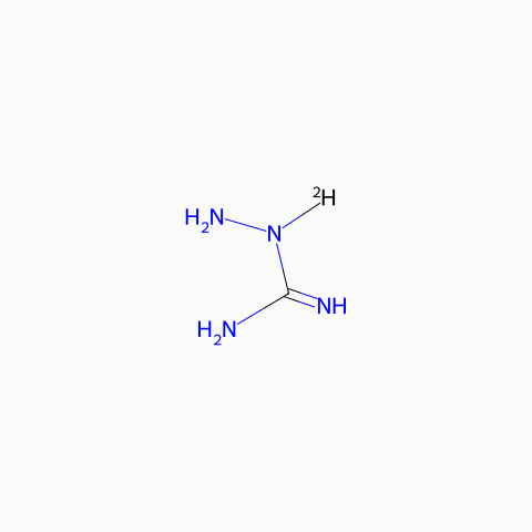 [2H]N(N)C(=N)N